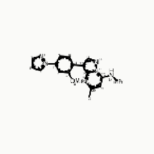 COc1cc(-n2cccn2)ccc1-c1cnn2c(NC(C)C)cc(C)nc12